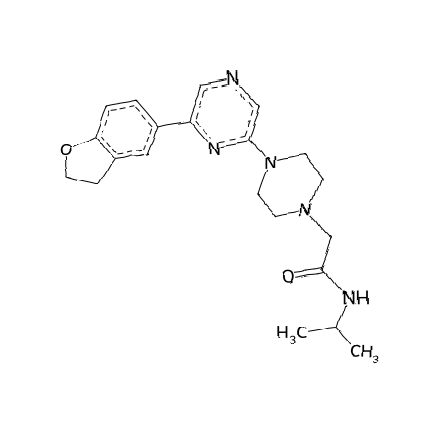 CC(C)NC(=O)CN1CCN(c2cncc(-c3ccc4c(c3)CCO4)n2)CC1